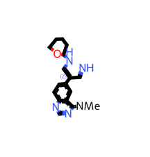 CNc1ncnc2ccc(/C(C=N)=C/NC3CCCCO3)cc12